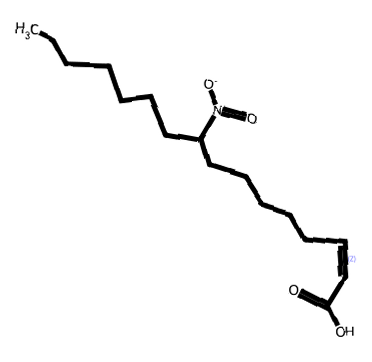 CCCCCCCC(CCCCC/C=C\C(=O)O)[N+](=O)[O-]